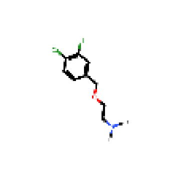 CCN(CC)CCOCc1ccc(Cl)c(Cl)c1